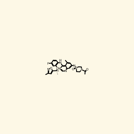 CC(=O)N1CCS(=O)(=Nc2cc(C)c3c(Nc4ccc(F)cc4O[C@H](C)c4cc(C)no4)ncnc3c2)CC1